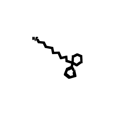 CCCCCCCCCCC1(c2ccccn2)CSCCS1